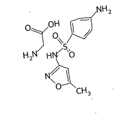 Cc1cc(NS(=O)(=O)c2ccc(N)cc2)no1.NCC(=O)O